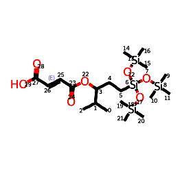 CC(C)C(CC[Si](O[Si](C)(C)C)(O[Si](C)(C)C)O[Si](C)(C)C)OC(=O)/C=C/C(=O)O